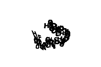 Cc1cc(C(=O)N2CCC(CN3CCN(Cc4ccc5c(c4)n(C)c(=O)n5C4CCC(=O)NC4=O)CC3)CC2)cc(F)c1C1=CCN([C@@H](C)c2cc3c(-n4cc(F)c5c(c4=O)CCN5)ccnc3n2C)CC1